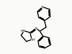 c1ccc(C(Cc2ccncc2)N=C2NCCN2)cc1